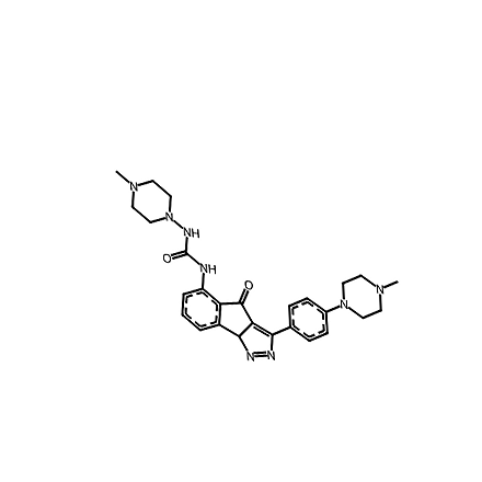 CN1CCN(NC(=O)Nc2cccc3c2C(=O)C2=C(c4ccc(N5CCN(C)CC5)cc4)N=NC23)CC1